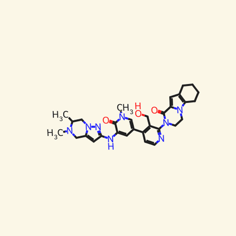 CC1Cn2nc(Nc3cc(-c4ccnc(N5CCn6c(cc7c6CCCC7)C5=O)c4CO)cn(C)c3=O)cc2CN1C